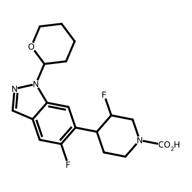 O=C(O)N1CCC(c2cc3c(cnn3C3CCCCO3)cc2F)C(F)C1